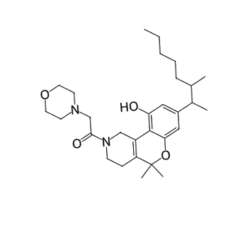 CCCCCC(C)C(C)c1cc(O)c2c(c1)OC(C)(C)C1=C2CN(C(=O)CN2CCOCC2)CC1